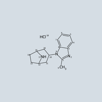 Cc1nc2ccccc2n1C1CC2CCC(C1)N2.Cl